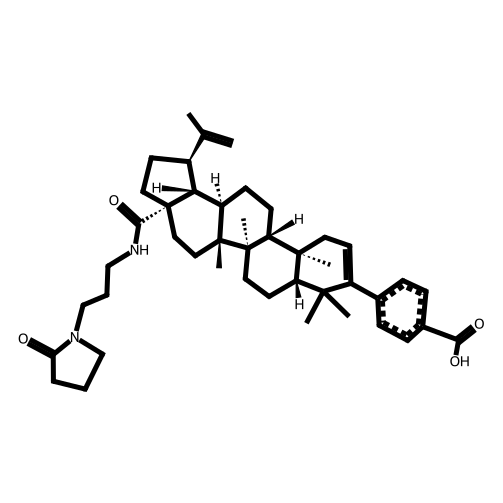 C=C(C)[C@@H]1CC[C@]2(C(=O)NCCCN3CCCC3=O)CC[C@]3(C)[C@H](CC[C@@H]4[C@@]5(C)CC=C(c6ccc(C(=O)O)cc6)C(C)(C)[C@@H]5CC[C@]43C)[C@@H]12